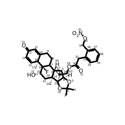 CC1(C)O[C@@H]2C[C@H]3C4CCC5=CC(=O)C=C[C@]5(C)[C@@]4(F)[C@@H](O)C[C@]3(C)[C@]2(C(=O)COC(=O)Cc2ccccc2CO[N+](=O)[O-])O1